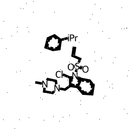 C=CCS(=O)(=O)n1c(Cl)c(CN2CCN(C)CC2)c2ccccc21.CC(C)c1ccccc1